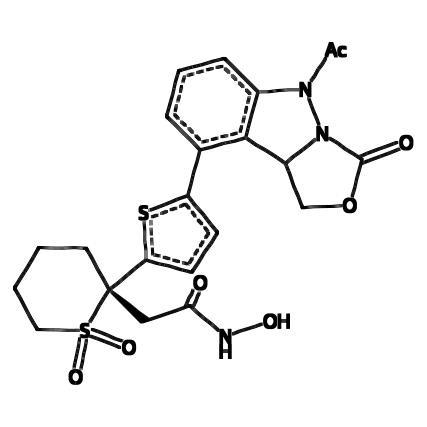 CC(=O)N1c2cccc(-c3ccc([C@@]4(CC(=O)NO)CCCCS4(=O)=O)s3)c2C2COC(=O)N21